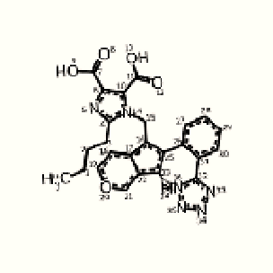 CCCCc1nc(C(=O)O)c(C(=O)O)n1Cc1c2ccocc-2c(Br)c1-c1ccccc1-c1nnn[nH]1